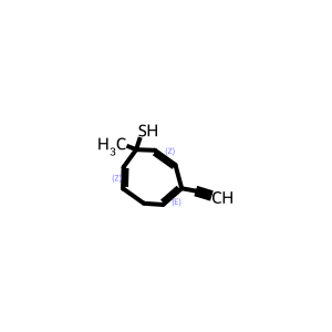 C#CC1=C/C/C=C\C(C)(S)/C=C\1